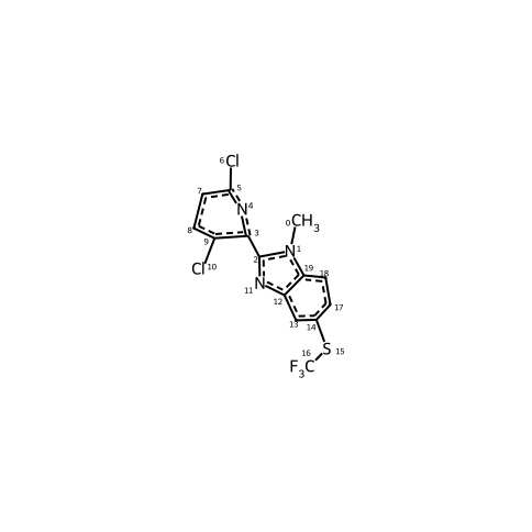 Cn1c(-c2nc(Cl)ccc2Cl)nc2cc(SC(F)(F)F)ccc21